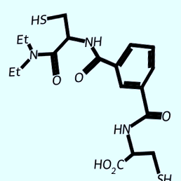 CCN(CC)C(=O)C(CS)NC(=O)c1cccc(C(=O)NC(CS)C(=O)O)c1